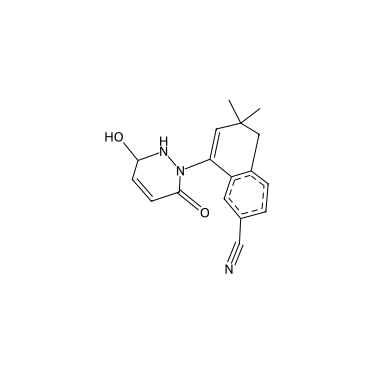 CC1(C)C=C(N2NC(O)C=CC2=O)c2cc(C#N)ccc2C1